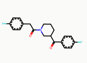 O=C(c1ccc(F)cc1)C1CCCN(C(=O)Cc2ccc(F)cc2)C1